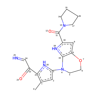 Cc1cc(N2CCOc3cc(C(=O)N4CCCC4)[nH]c32)[nH]c1C(=O)C=N